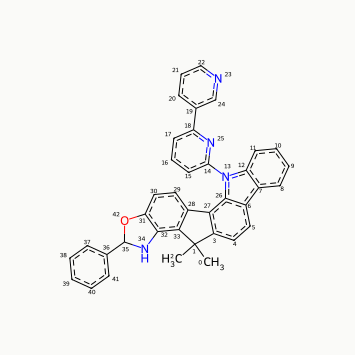 CC1(C)c2ccc3c4ccccc4n(-c4cccc(-c5cccnc5)n4)c3c2-c2ccc3c(c21)NC(c1ccccc1)O3